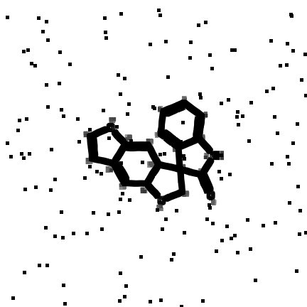 O=C1Nc2ccccc2C12COC1C=c3ccoc3=CC12